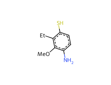 CCc1c(S)ccc(N)c1OC